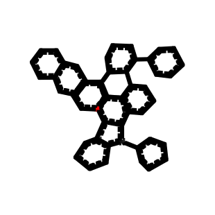 c1ccc(-c2ccccc2-c2c(-c3ccccc3)cccc2N(c2ccc3ccccc3c2)c2ccc3c(c2)c2ccccc2n3-c2ccccc2)cc1